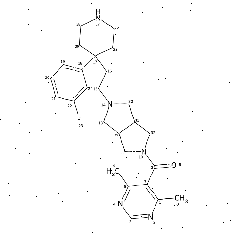 Cc1ncnc(C)c1C(=O)N1CC2CN(CCC3(c4cccc(F)c4)CCNCC3)CC2C1